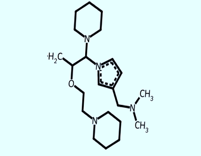 [CH2]C(OCCN1CCCCC1)C(N1CCCCC1)n1ccc(CN(C)C)c1